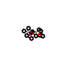 c1ccc(-c2ccccc2-n2c3cccc(-n4c5ccccc5c5cccc([Si](c6ccccc6)(c6ccccc6)c6ccccc6)c54)c3c3cccc(-n4c5ccccc5c5ccccc54)c32)cc1